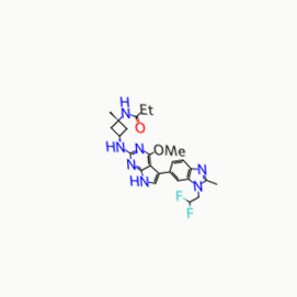 CCC(=O)N[C@]1(C)C[C@@H](Nc2nc(OC)c3c(-c4ccc5nc(C)n(CC(F)F)c5c4)c[nH]c3n2)C1